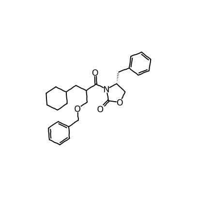 O=C1OC[C@@H](Cc2ccccc2)N1C(=O)C(COCc1ccccc1)CC1CCCCC1